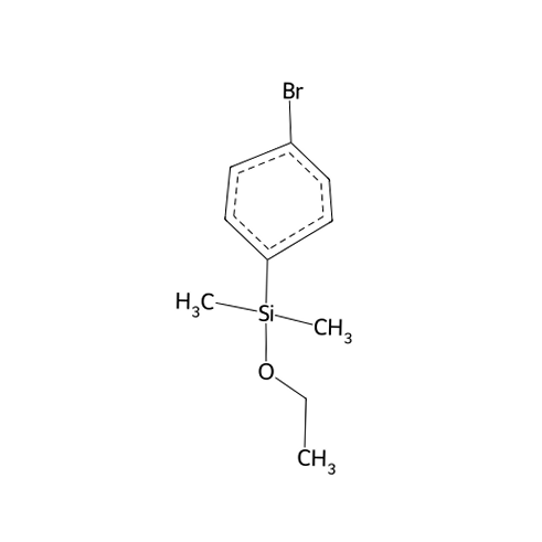 CCO[Si](C)(C)c1ccc(Br)cc1